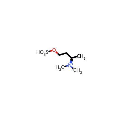 CC(CCOS(=O)(=O)O)=[N+](C)C